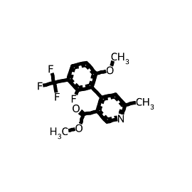 COC(=O)c1cnc(C)cc1-c1c(OC)ccc(C(F)(F)F)c1F